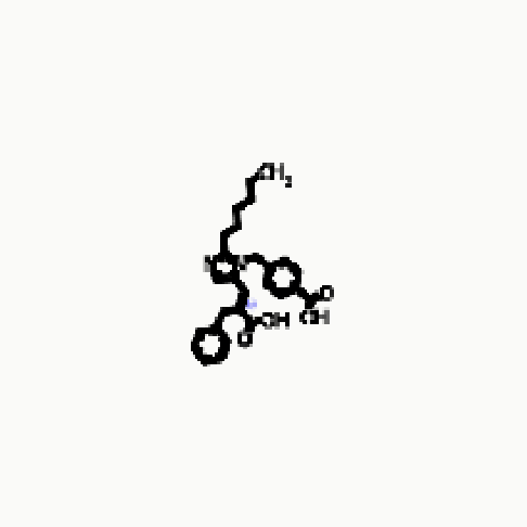 CCCCCCc1ncc(/C=C(\Cc2ccccc2)C(=O)O)n1Cc1ccc(C(=O)O)cc1